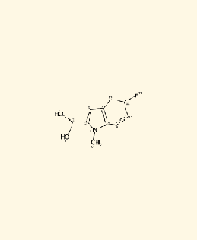 Cn1c(C(O)O)cc2c1C=CC(F)C2